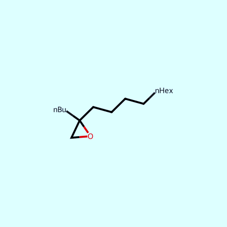 CCCCCCCCCCC1(CCCC)CO1